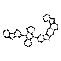 c1ccc2c(c1)oc1cc(-c3c4ccccc4c(-c4ccc5sc6cc7ccc8sc9ccccc9c8c7cc6c5c4)c4ccccc34)ccc12